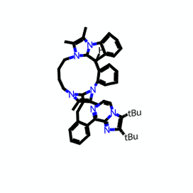 CC1=C(C)N2c3ccccc3[C@H]3c4ccccc4N4C(C)=C(C)N(CCCCN1C2CCc1ccccc1-c1nccn2c(C(C)(C)C)c(C(C)(C)C)nc12)C34